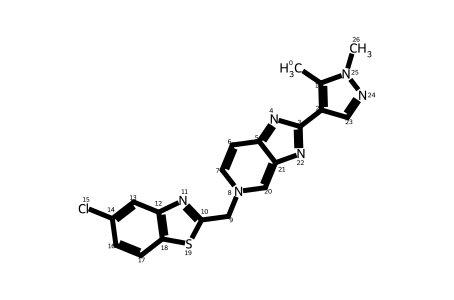 Cc1c(-c2nc3ccn(Cc4nc5cc(Cl)ccc5s4)cc-3n2)cnn1C